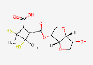 CC1(S)C(C(=O)O)C(C(=O)O[C@@H]2CO[C@H]3[C@@H]2OC[C@@H]3O)C1(C)S